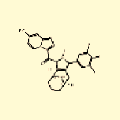 CN1C(c2cc(F)c(F)c(F)c2)C2=C([C@@H]3CCC[C@H](C2)N3)N1C(=O)c1cnc2cc(C(F)(F)F)ccn12